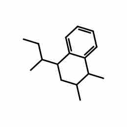 CCC(C)C1CC(C)C(C)c2ccccc21